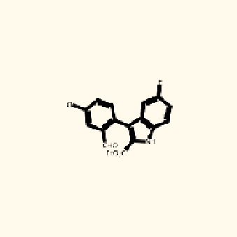 CCOC(=O)c1[nH]c2ccc(F)cc2c1-c1ccc(Cl)cc1C=O